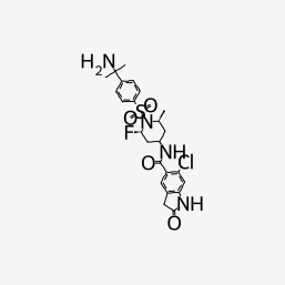 C[C@H]1C[C@@H](NC(=O)c2cc3c(cc2Cl)NC(=O)C3)C[C@@H](F)N1S(=O)(=O)c1ccc(C(C)(C)N)cc1